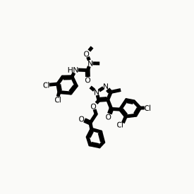 CON(C)C(=O)Nc1ccc(Cl)c(Cl)c1.Cc1nn(C)c(OCC(=O)c2ccccc2)c1C(=O)c1ccc(Cl)cc1Cl